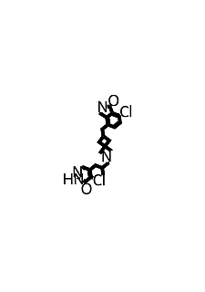 CC(Cc1cn[nH]c(=O)c1Cl)CN1CC2(CC(Cc3ccc(Cl)c4c3CN(C)C4=O)C2)C1